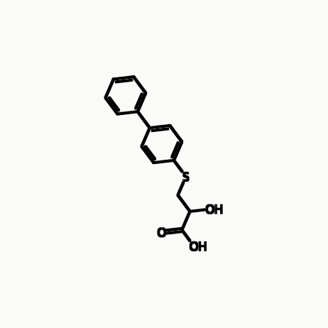 O=C(O)C(O)CSc1ccc(-c2ccccc2)cc1